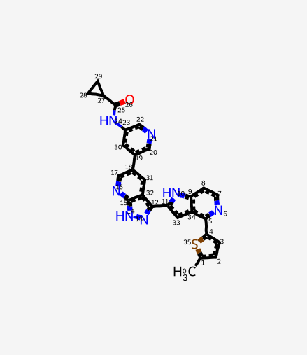 Cc1ccc(-c2nccc3[nH]c(-c4n[nH]c5ncc(-c6cncc(NC(=O)C7CC7)c6)cc45)cc23)s1